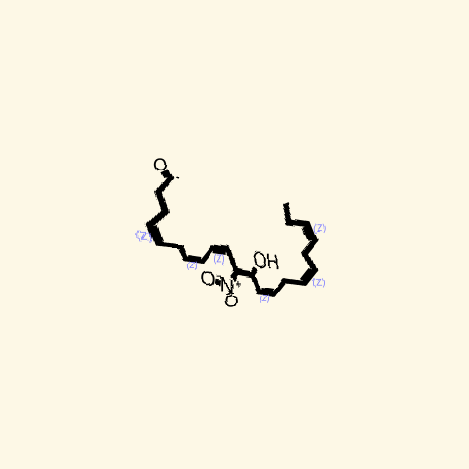 CC/C=C\C/C=C\C/C=C\C(O)C(/C=C\C=C/C/C=C\CC[C]=O)[N+](=O)[O-]